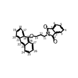 O=C1c2ccccc2C(=O)N1CCCOc1c2ccccc2cc2ccccc12